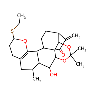 C=C1C(=O)C23C4CCC1C2OC(C)(C)OC3C(O)C1C(C)CC2=C(OC(SCC)CC2)C14